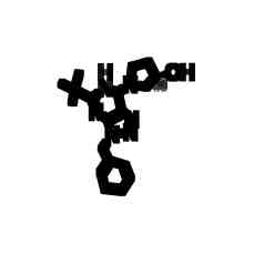 CC(C)(C)C1=Nc2c(nnn2Cc2ccccc2)C(N2CC[C@H](O)C2)N1